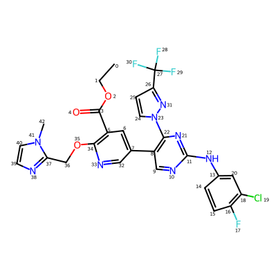 CCOC(=O)c1cc(-c2cnc(Nc3ccc(F)c(Cl)c3)nc2-n2ccc(C(F)(F)F)n2)cnc1OCc1nccn1C